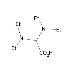 CCN(CC)C(C(=O)O)N(CC)CC